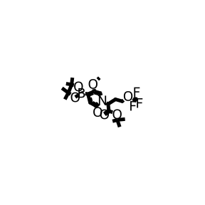 COc1cn(C(CCOC(F)(F)F)C(=O)OC(C)(C)C)c(=O)cc1B1OC(C)(C)C(C)(C)O1